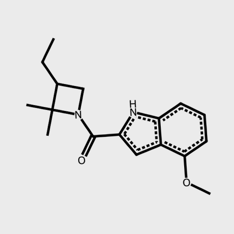 CCC1CN(C(=O)c2cc3c(OC)cccc3[nH]2)C1(C)C